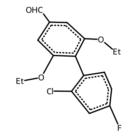 CCOc1cc(C=O)cc(OCC)c1-c1ccc(F)cc1Cl